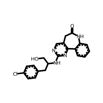 O=C1Cc2cnc(NC(CO)Cc3ccc(Cl)cc3)nc2-c2ccccc2N1